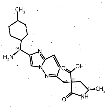 CC1CCC([C@H](N)c2cn3nc(C[C@@]4(C(=O)O)C[C@@H](C)NC4=O)ccc3n2)CC1